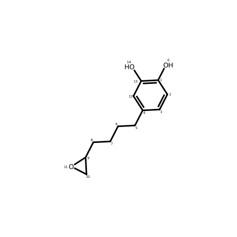 Oc1ccc(CCCCC2CO2)cc1O